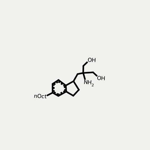 CCCCCCCCc1ccc2c(c1)CCC2CC(N)(CO)CO